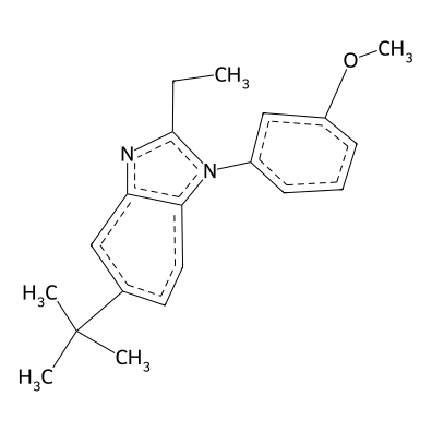 CCc1nc2cc(C(C)(C)C)ccc2n1-c1cccc(OC)c1